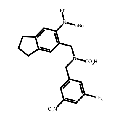 CCCCN(CC)c1cc2c(cc1CN(Cc1cc([N+](=O)[O-])cc(C(F)(F)F)c1)C(=O)O)CCC2